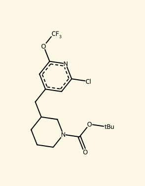 CC(C)(C)OC(=O)N1CCCC(Cc2cc(Cl)nc(OC(F)(F)F)c2)C1